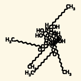 CCCCCCCCCCCCCC(=O)O[C@H](CCCCCCCCCCC)CC(=O)NC1[C@H](OCC2O[C@H](C)C(NC(=O)C[C@H](O)CCCCCCCCCCC)[C@@H](O)[C@@H]2O)OC(CO)[C@@H](OP(=O)(O)O)[C@@H]1OC(=O)C[C@@H](CCCCCCCCCCC)OC(=O)CCCCCCCCCCCCC